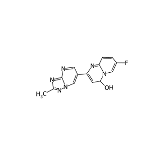 Cc1nc2ncc(C3=CC(O)N4C=C(F)C=CC4=N3)cn2n1